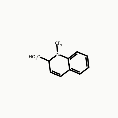 O=C(O)C1C=Cc2ccccc2N1C(F)(F)F